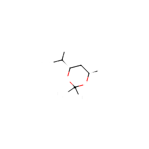 CC(C)C(C(=O)O)[C@H]1C[C@@H](C=O)OC(C)(C)O1